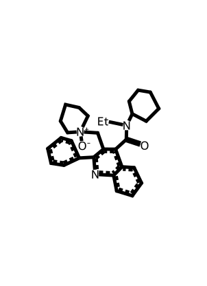 CCN(C(=O)c1c(C[N+]2([O-])CCCCC2)c(-c2ccccc2)nc2ccccc12)C1CCCCC1